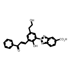 O=C(O)c1ccc2nn(-c3cc(CCO)cc(C=CC(=O)c4ccccc4)c3O)nc2c1